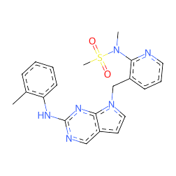 Cc1ccccc1Nc1ncc2ccn(Cc3cccnc3N(C)S(C)(=O)=O)c2n1